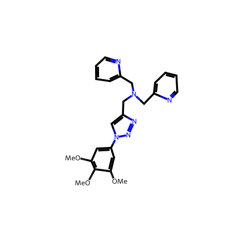 COc1cc(-n2cc(CN(Cc3ccccn3)Cc3ccccn3)nn2)cc(OC)c1OC